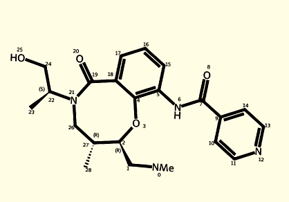 CNC[C@@H]1Oc2c(NC(=O)c3ccncc3)cccc2C(=O)N([C@@H](C)CO)C[C@H]1C